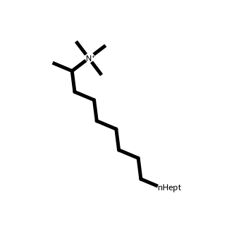 CCCCCCCCCCCCCCC(C)[N+](C)(C)C